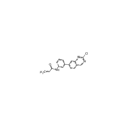 C=CC(=O)Nc1cccc(-c2ccc3cnc(Cl)nc3c2)c1